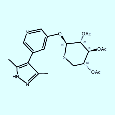 CC(=O)O[C@@H]1[C@@H](OC(C)=O)[C@H](OC(C)=O)CS[C@H]1Oc1cncc(-c2c(C)n[nH]c2C)c1